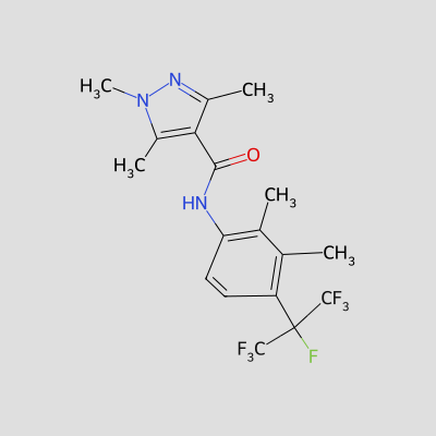 Cc1nn(C)c(C)c1C(=O)Nc1ccc(C(F)(C(F)(F)F)C(F)(F)F)c(C)c1C